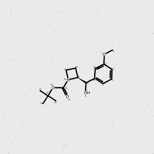 COc1cccc(C(O)[C@@H]2CCN2C(=O)OC(C)(C)C)c1